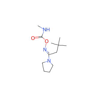 CNC(=O)ON=C(CC(C)(C)C)N1CCCC1